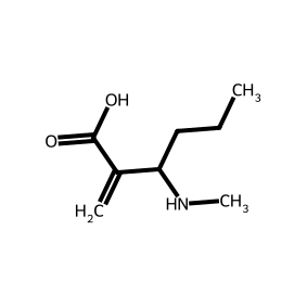 C=C(C(=O)O)C(CCC)NC